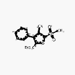 CCOC(=O)c1sc(S(C)(=O)=O)c(C#N)c1-c1ccccc1